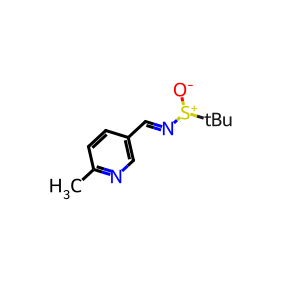 Cc1ccc(C=N[S+]([O-])C(C)(C)C)cn1